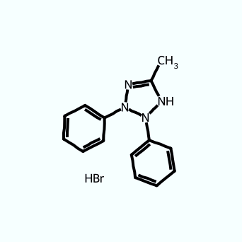 Br.CC1=NN(c2ccccc2)N(c2ccccc2)N1